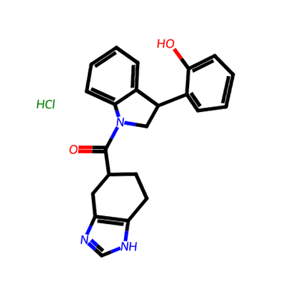 Cl.O=C(C1CCc2[nH]cnc2C1)N1CC(c2ccccc2O)c2ccccc21